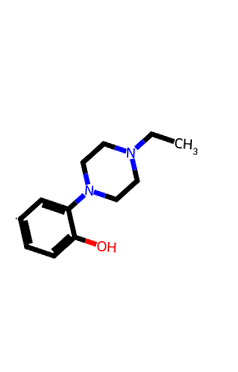 CCN1CCN(c2c[c]ccc2O)CC1